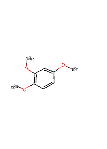 CCCCOc1ccc(OCCCC)c(OCCCC)c1